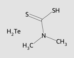 CN(C)C(=S)S.[TeH2]